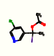 CC(=O)OC(C)(I)c1cncc(Br)c1